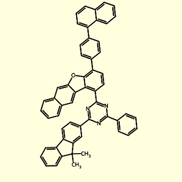 CC1(C)c2ccccc2-c2ccc(-c3nc(-c4ccccc4)nc(-c4ccc(-c5ccc(-c6cccc7ccccc67)cc5)c5oc6cc7ccccc7cc6c45)n3)cc21